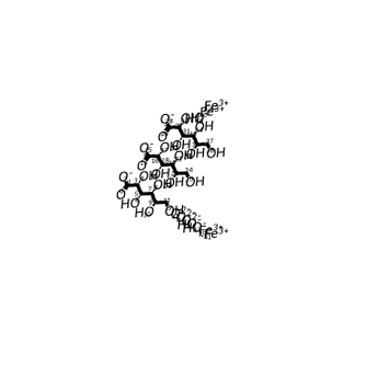 O=C([O-])[C@H](O)[C@@H](O)[C@H](O)[C@H](O)CO.O=C([O-])[C@H](O)[C@@H](O)[C@H](O)[C@H](O)CO.O=C([O-])[C@H](O)[C@@H](O)[C@H](O)[C@H](O)CO.[Fe+3].[Fe+3].[Fe+3].[Fe+3].[O-2].[O-2].[O-2].[OH-].[OH-].[OH-]